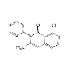 Cc1cc2cccc(Cl)c2c(=O)n1-c1ccccn1